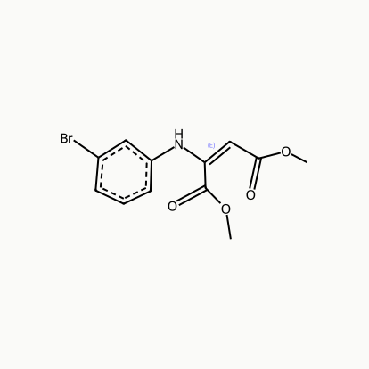 COC(=O)/C=C(/Nc1cccc(Br)c1)C(=O)OC